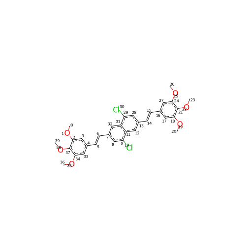 COc1cc(/C=C/c2cc(Cl)c3cc(/C=C/c4cc(OC)c(OC)c(OC)c4)cc(Cl)c3c2)cc(OC)c1OC